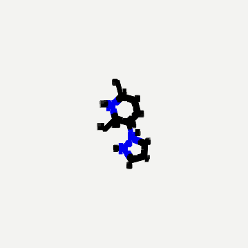 Cc1ccc(-n2cccn2)c(C)n1